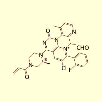 C=CC(=O)N1CCN(c2nc(=O)n3c4c2cc(Cl)c(-c2c(F)cccc2C=O)[n+]4C(C)c2nccc(C)c2-3)[C@@H](C)C1